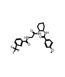 COc1ccc(C(=O)N[C@@H]2CCCC[C@@H]2NC(=O)CNC(=O)c2cccc(C(F)(F)F)c2)cc1